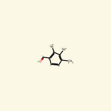 [2H]c1c(C)ccc(C=O)c1[2H]